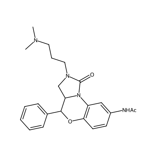 CC(=O)Nc1ccc2c(c1)N1C(=O)N(CCCN(C)C)CC1C(c1ccccc1)O2